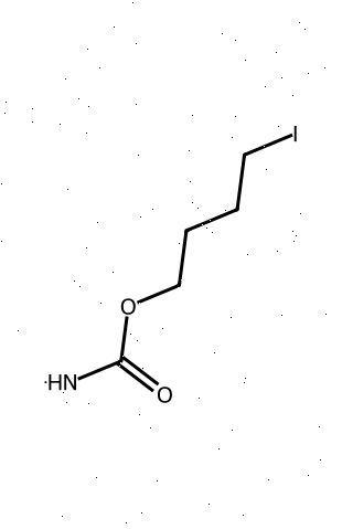 [NH]C(=O)OCCCCI